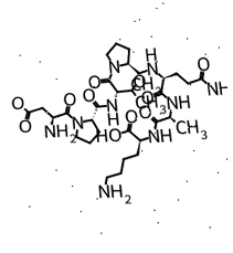 CC(C)[C@H](NC(=O)[C@@H]1CCCN1C(=O)[C@@H](N)CC(=O)O)C(=O)N1CCC[C@H]1C(=O)N[C@@H](CCC(N)=O)C(=O)N[C@@H](C)C(=O)N[C@@H](CCCCN)C(=O)O